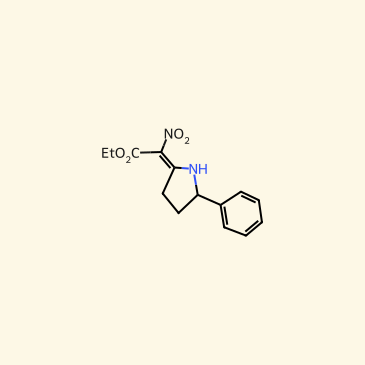 CCOC(=O)/C(=C1\CCC(c2ccccc2)N1)[N+](=O)[O-]